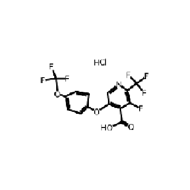 Cl.O=C(O)c1c(Oc2ccc(OC(F)(F)F)cc2)cnc(C(F)(F)F)c1F